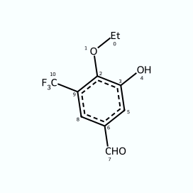 CCOc1c(O)cc(C=O)cc1C(F)(F)F